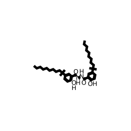 CCCCCCCCCC(C)(C)c1ccc(O)c(C(=O)NNC(=O)c2cc(C(C)(C)CCCCCCCCC)ccc2O)c1